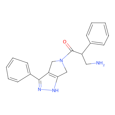 NCC(C(=O)N1Cc2[nH]nc(-c3ccccc3)c2C1)c1ccccc1